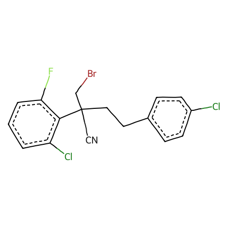 N#CC(CBr)(CCc1ccc(Cl)cc1)c1c(F)cccc1Cl